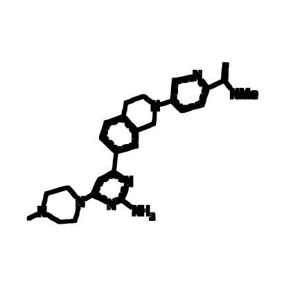 C=C(NC)c1ccc(N2CCc3ccc(-c4cc(N5CCN(C)CC5)nc(N)n4)cc3C2)cn1